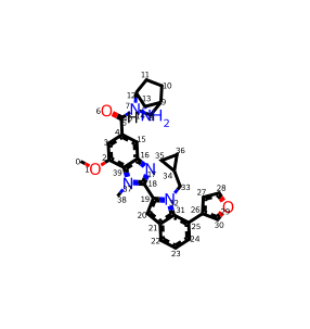 COc1cc(C(=O)N2CC3CCC2[C@@H]3N)cc2nc(-c3cc4cccc(-c5ccoc5)c4n3CC3CC3)n(C)c12